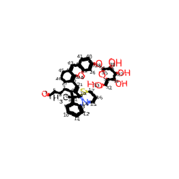 CC1(CCCCC=O)c2ccccc2N2CCCSC21/C=C/C1=C2Oc3cc(OC4OC(CO)C(O)C(O)C4O)ccc3C=C2CCC1